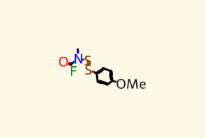 COc1ccc(SSN(C)C(=O)F)cc1